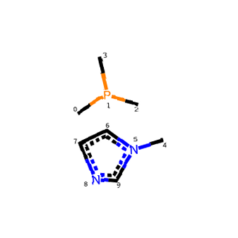 CP(C)C.Cn1ccnc1